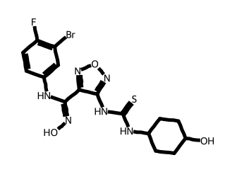 O/N=C(\Nc1ccc(F)c(Br)c1)c1nonc1NC(=S)NC1CCC(O)CC1